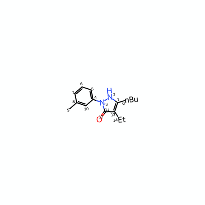 CCCCc1[nH]n(-c2cccc(C)c2)c(=O)c1CC